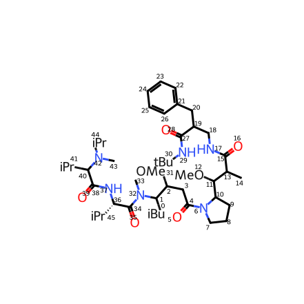 CCC(C)C(C(CC(=O)N1CCCC1C(OC)C(C)C(=O)NCC(Cc1ccccc1)C(=O)NC(C)(C)C)OC)N(C)C(=O)[C@@H](NC(=O)C(C(C)C)N(C)C(C)C)C(C)C